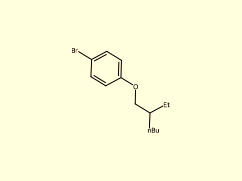 CCCCC(CC)COc1ccc(Br)cc1